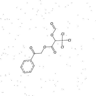 O=COC(C(=O)OCC(=O)c1ccccc1)C(Cl)(Cl)Cl